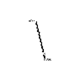 CCCCCCCCCCCCCCCCCCCCCCCCCCC[CH]SCCCCCCCCCCCC